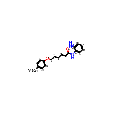 CSc1ccc(OCCCCCC(=O)Nc2ccccc2N)cc1